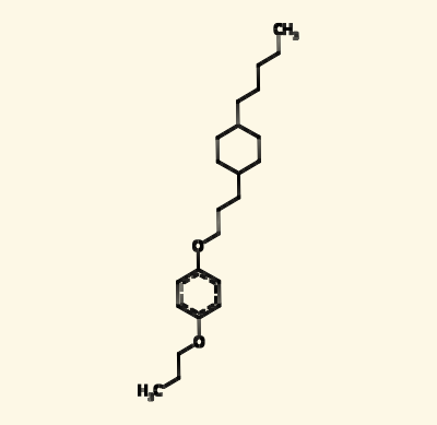 CCCCCC1CCC(CCCOc2ccc(OCCC)cc2)CC1